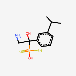 CC(C)c1cccc(C(O)(CN)P(O)(=S)S)c1